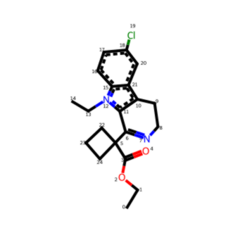 CCOC(=O)C1(C2=NCCc3c2n(CC)c2ccc(Cl)cc32)CCC1